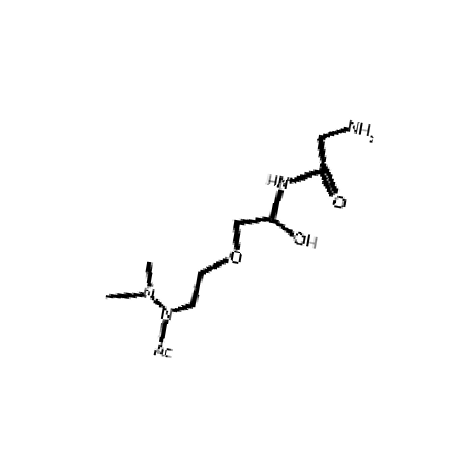 CC(=O)N(CCOCC(O)NC(=O)CN)N(C)C